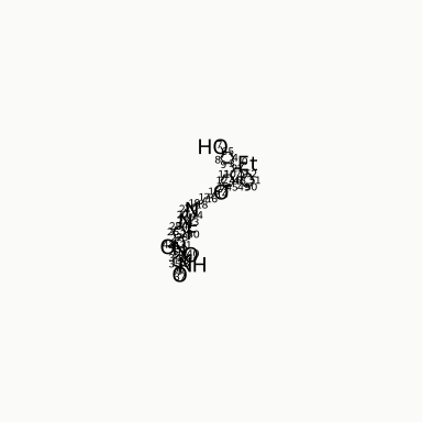 CCC(=C(c1ccc(O)cc1)c1ccc(OCCCCCN2CCN(c3ccc4c(c3F)CN(C3CCC(=O)NC3=O)C4=O)CC2)cc1)c1ccccc1